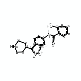 O=C(Nc1ccc2c(C3CCNCC3)n[nH]c2c1)c1ccccc1O